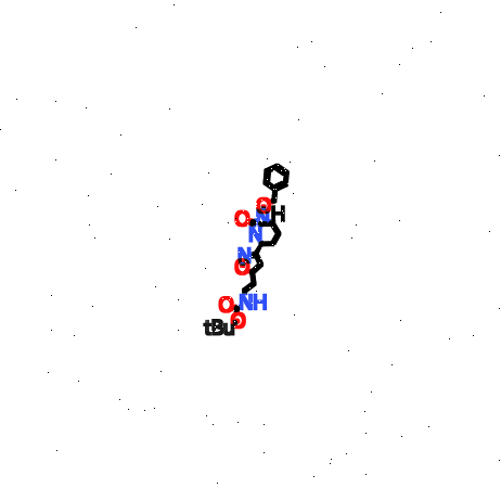 CC(C)(C)OC(=O)NCCC1CC([C@@H]2CC[C@@H]3CN2C(=O)N3OCc2ccccc2)=NO1